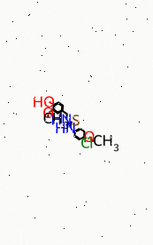 CCOC1(Cl)C=CC(NC(=S)NCc2ccc(O)c(OC)c2)=CC1